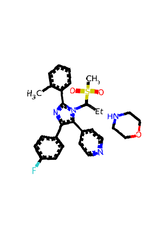 C1COCCN1.CCC(n1c(-c2ccccc2C)nc(-c2ccc(F)cc2)c1-c1ccncc1)S(C)(=O)=O